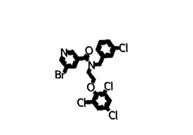 O=C(c1cncc(Br)c1)N(CCOc1c(Cl)cc(Cl)cc1Cl)Cc1cccc(Cl)c1